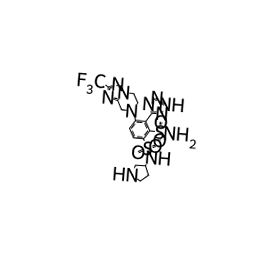 NS(=O)(=O)c1c(S(=O)(=O)N[C@@H]2CCNC2)ccc(N2CCn3nc(C(F)(F)F)nc3C2)c1-c1nn[nH]n1